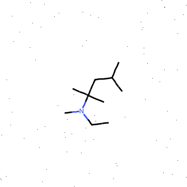 CCN(C)C(C)(C)CC(C)C